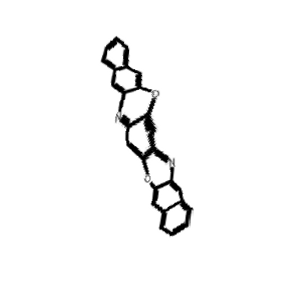 c1ccc2cc3c(cc2c1)N=c1cc2c(cc1O3)=Nc1cc3ccccc3cc1O2